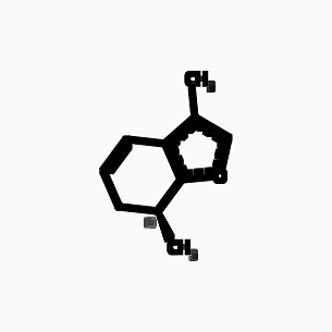 Cc1coc2c1C=CC[C@@H]2C